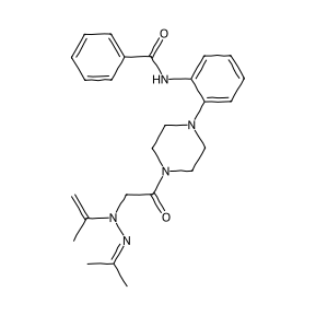 C=C(C)N(CC(=O)N1CCN(c2ccccc2NC(=O)c2ccccc2)CC1)N=C(C)C